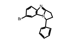 Brc1ccc2nc3n(c2c1)C(c1ccccc1)CC3